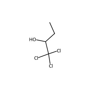 CCC(O)C(Cl)(Cl)Cl